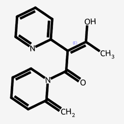 C=C1C=CC=CN1C(=O)/C(=C(\C)O)c1ccccn1